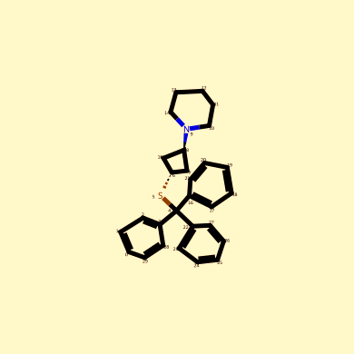 c1ccc(C(S[C@H]2C[C@H](N3CCCCC3)C2)(c2ccccc2)c2ccccc2)cc1